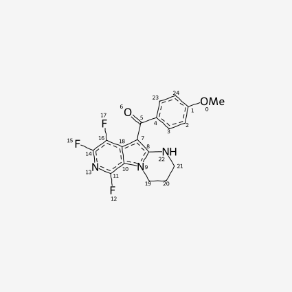 COc1ccc(C(=O)c2c3n(c4c(F)nc(F)c(F)c24)CCCN3)cc1